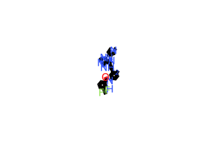 Cc1ccc(NC(=O)c2cccc(C(C)(F)F)c2)cc1C#Cc1nn([C@@H]2CCN(C)C2)c2ncnc(N)c12